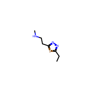 CCc1nnc(CCNC)s1